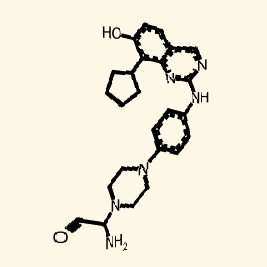 NC(C=O)N1CCN(c2ccc(Nc3ncc4ccc(O)c(C5CCCC5)c4n3)cc2)CC1